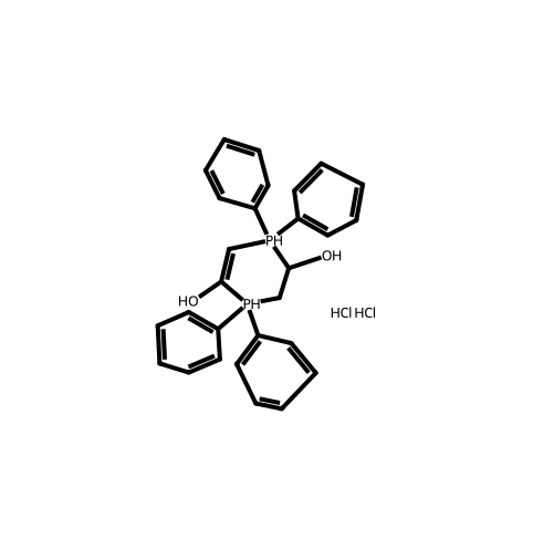 Cl.Cl.OC1=C[PH](c2ccccc2)(c2ccccc2)C(O)C[PH]1(c1ccccc1)c1ccccc1